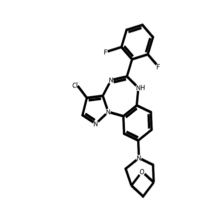 Fc1cccc(F)c1C1=Nc2c(Cl)cnn2-c2cc(N3CC4CC(C3)O4)ccc2N1